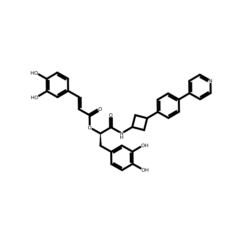 O=C(/C=C/c1ccc(O)c(O)c1)O[C@H](Cc1ccc(O)c(O)c1)C(=O)NC1CC(c2ccc(-c3ccncc3)cc2)C1